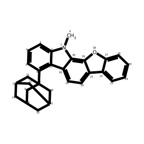 Cn1c2cccc(C34CC5CC(CC(C5)C3)C4)c2c2ccc3c4ccccc4oc3c21